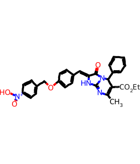 CCOC(=O)C1=C(C)N=c2[nH]/c(=C\c3ccc(OCc4ccc([N+](=O)O)cc4)cc3)c(=O)n2C1c1ccccc1